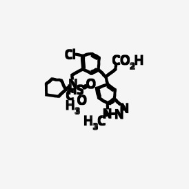 Cn1nnc2cc(C(CC(=O)O)c3ccc(Cl)c(CN([SH](=O)=O)C4(C)CCCCC4)c3)ccc21